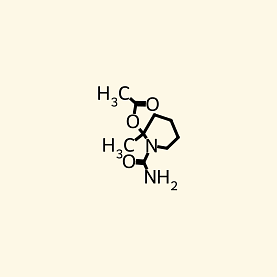 CC(=O)OC1(C)CCCCN1C(N)=O